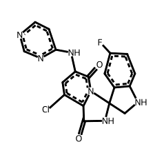 O=C1NC2(CNc3ccc(F)cc32)n2c1c(Cl)cc(Nc1ccncn1)c2=O